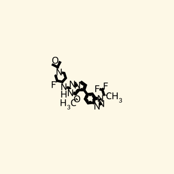 COc1nc(N[C@@H]2CCN(C3COC3)C[C@H]2F)nn2ccc(-c3ccc4nnn([C@@H](C)C(F)F)c4c3)c12